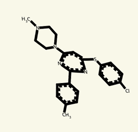 Cc1ccc(-c2nc(Sc3ccc(Cl)cc3)cc(N3CCN(C)CC3)n2)cc1